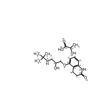 CC(C)(C)NCC(O)COc1cccc2c1CCC(=O)N2.CC(O)C(=O)O